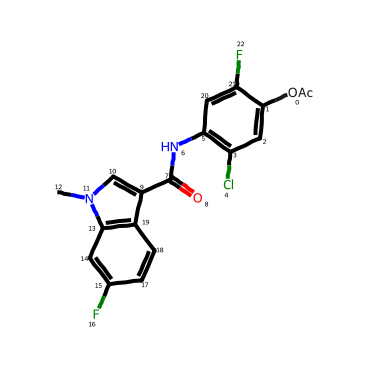 CC(=O)Oc1cc(Cl)c(NC(=O)c2cn(C)c3cc(F)ccc23)cc1F